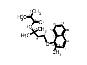 C=C(C)C(=O)OC(C)(C)CCOc1c(C)ccc2ccccc12